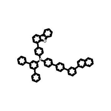 c1ccc(-c2cc(-c3ccccc3)cc(N(c3ccc(-c4ccc(-c5cccc(-c6ccc7ccccc7c6)c5)cc4)cc3)c3ccc(-c4cccc5c4oc4ccccc45)cc3)c2)cc1